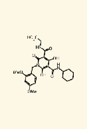 COc1ccc(Cn2c(O)c(C(=O)NC3CCCCC3)c(O)c(C(=O)NCC(=O)O)c2=O)c(OC)c1